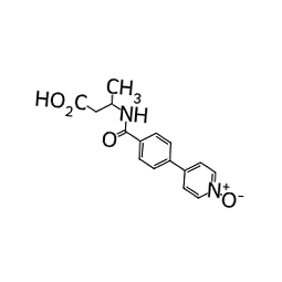 CC(CC(=O)O)NC(=O)c1ccc(-c2cc[n+]([O-])cc2)cc1